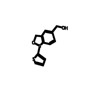 OCc1ccc2c(c1)COB2c1cccs1